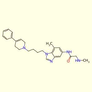 CNCC(=O)Nc1cc(C)c2c(c1)ncn2CCCCN1CC=C(c2ccccc2)CC1